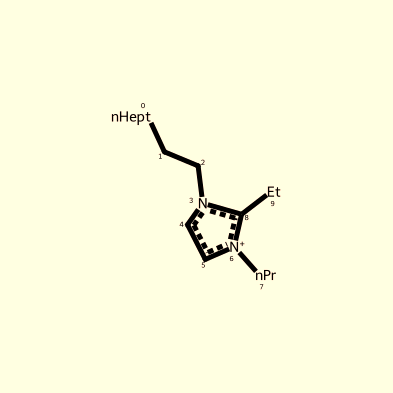 CCCCCCCCCn1cc[n+](CCC)c1CC